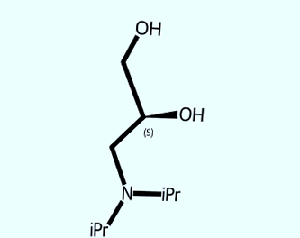 CC(C)N(C[C@H](O)CO)C(C)C